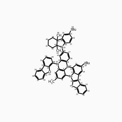 Cc1cc2c3c(c1)-n1c4sc5ccccc5c4c4cc(C(C)(C)C)cc(c41)B3c1ccc(N3c4ccc(C(C)(C)C)cc4C4(C)CCCCC34C)cc1N2c1cccc2c1oc1ccccc12